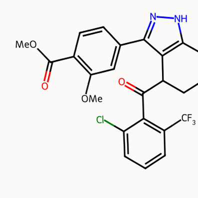 COC(=O)c1ccc(-c2n[nH]c3c2C(C(=O)c2c(Cl)cccc2C(F)(F)F)CCC3)cc1OC